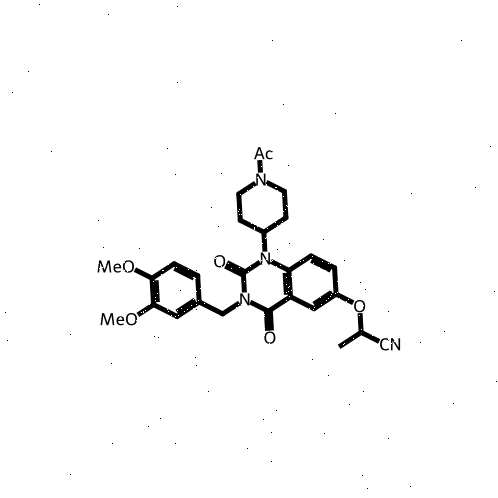 COc1ccc(Cn2c(=O)c3cc(OC(C)C#N)ccc3n(C3CCN(C(C)=O)CC3)c2=O)cc1OC